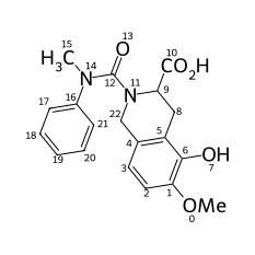 COc1ccc2c(c1O)CC(C(=O)O)N(C(=O)N(C)c1ccccc1)C2